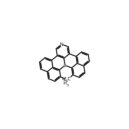 Cc1ccc2cccc3c2c1B1c2c-3cncc2-c2cccc3ccc(C)c1c23